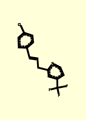 FC(F)(F)c1[c]c(CC=Cc2ccc(Cl)cc2)ncc1